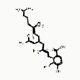 CC(C)=CCC/C(C)=C/CC(C=C(C)C)C/C(C)=C/Cc1c(C(=O)O)ccc(O)c1O